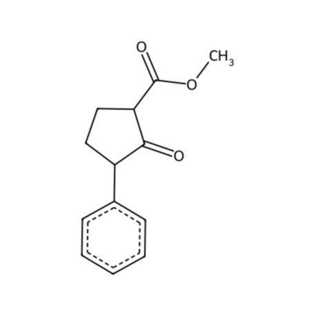 COC(=O)C1CCC(c2ccccc2)C1=O